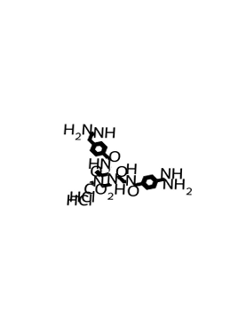 Cl.Cl.N=C(N)Cc1ccc(C(=O)NC[C@H]2C(=O)N(CC(=O)O)CCN2C(=O)CNC(=O)c2ccc(C(=N)N)cc2)cc1